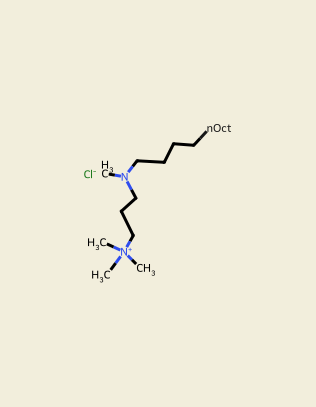 CCCCCCCCCCCCN(C)CCC[N+](C)(C)C.[Cl-]